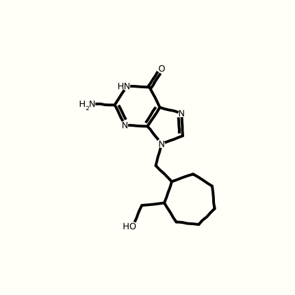 Nc1nc2c(ncn2CC2CCCCCC2CO)c(=O)[nH]1